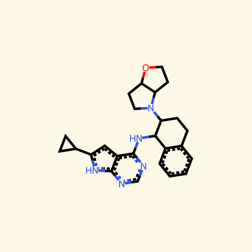 c1ccc2c(c1)CCC(N1CCC3OCCC31)C2Nc1ncnc2[nH]c(C3CC3)cc12